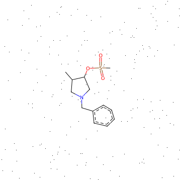 CC1CN(Cc2ccccc2)CC1OS(C)(=O)=O